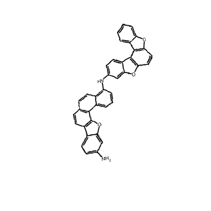 Nc1ccc2c(c1)oc1c2ccc2ccc3c(Nc4ccc5c(c4)oc4ccc6oc7ccccc7c6c45)cccc3c21